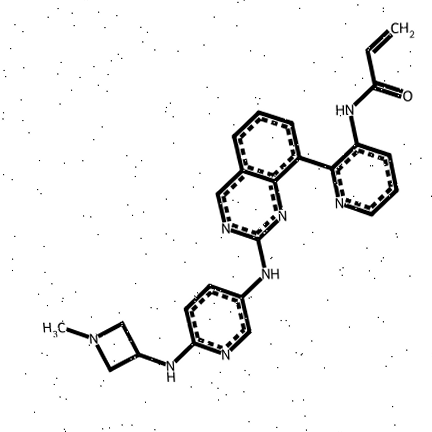 C=CC(=O)Nc1cccnc1-c1cccc2cnc(Nc3ccc(NC4CN(C)C4)nc3)nc12